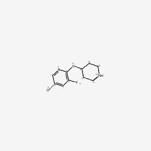 Fc1cc(Cl)cnc1OC1CCNCC1